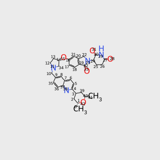 C[C@@H]1CC(c2ccc3cc(CN4CC[C@H](Oc5ccc6c(c5)CN(C5CCC(=O)NC5=O)C6=O)C4)ccc3n2)C[C@@H](C)O1